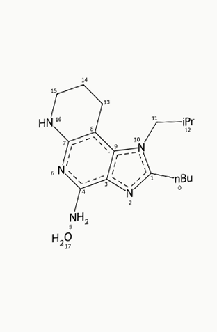 CCCCc1nc2c(N)nc3c(c2n1CC(C)C)CCCN3.O